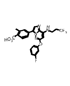 Cc1cc(-c2cnc3c(NCCC(F)(F)F)cc(Oc4cccc(F)c4)nn23)ccc1C(=O)O